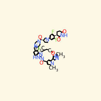 Cc1cc2cc(n1)-c1cnn(C)c1OCCC[C@@H](C)CN1/C(=N/C2=O)Nc2ccc(CN3CCN(C(=O)[C@@H]4CCN(c5cc(F)c([C@H]6CCC(=O)NC6=O)c(F)c5)C4)CC3)c(F)c21